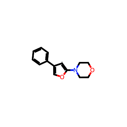 [c]1c(-c2ccccc2)coc1N1CCOCC1